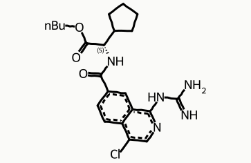 CCCCOC(=O)[C@@H](NC(=O)c1ccc2c(Cl)cnc(NC(=N)N)c2c1)C1CCCC1